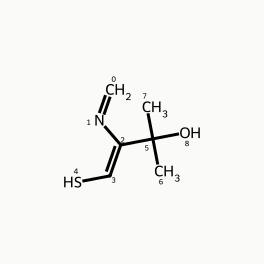 C=N/C(=C\S)C(C)(C)O